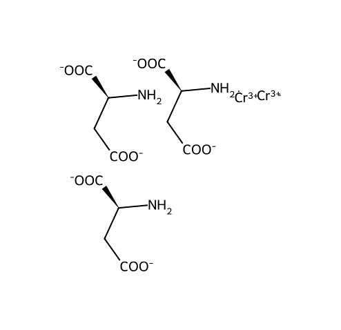 N[C@@H](CC(=O)[O-])C(=O)[O-].N[C@@H](CC(=O)[O-])C(=O)[O-].N[C@@H](CC(=O)[O-])C(=O)[O-].[Cr+3].[Cr+3]